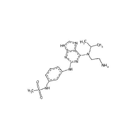 CC(C)N(CCN)c1nc(Nc2cccc(NS(C)(=O)=O)c2)nc2[nH]cnc12